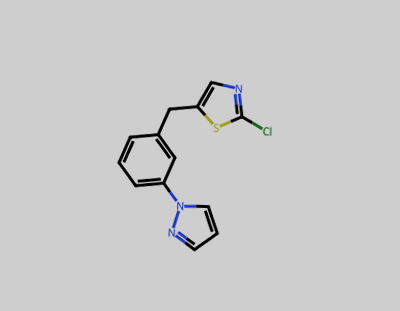 Clc1ncc(Cc2cccc(-n3cccn3)c2)s1